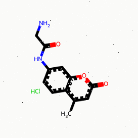 Cc1cc(=O)oc2cc(NC(=O)CN)ccc12.Cl